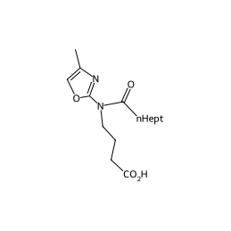 CCCCCCCC(=O)N(CCCC(=O)O)c1nc(C)co1